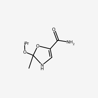 CC(C)OC1(C)NC=C(C(N)=O)O1